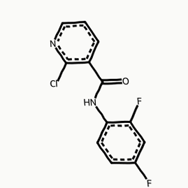 O=C(Nc1ccc(F)cc1F)c1cccnc1Cl